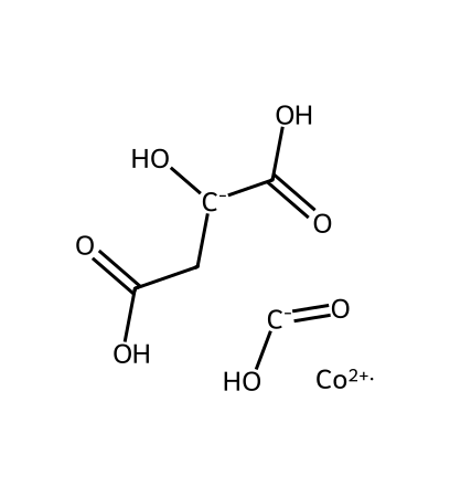 O=C(O)C[C-](O)C(=O)O.O=[C-]O.[Co+2]